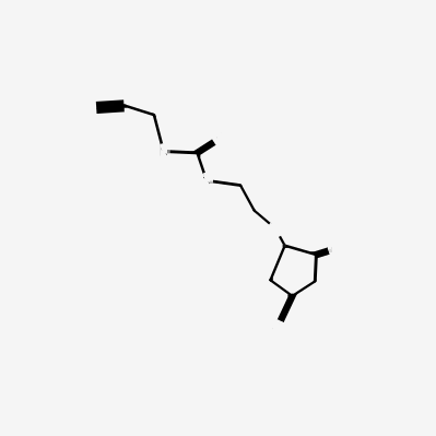 C#CCNC(=O)NCCSC1CC(=O)CC1=O